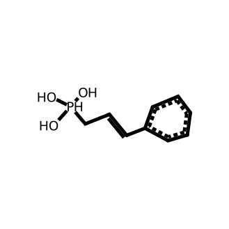 O[PH](O)(O)CC=Cc1ccccc1